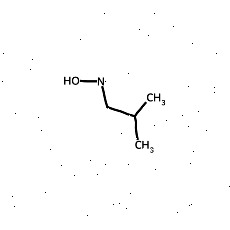 CC(C)C[N]O